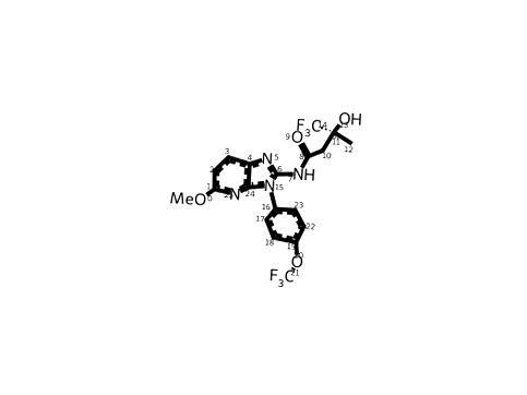 COc1ccc2nc(NC(=O)C[C@](C)(O)C(F)(F)F)n(-c3ccc(OC(F)(F)F)cc3)c2n1